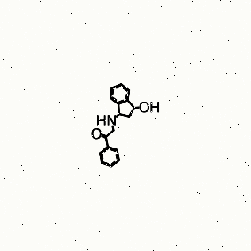 O=C(CNC1CC(O)c2ccccc21)c1ccccc1